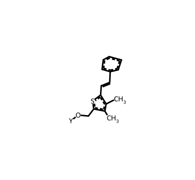 Cc1c(/C=C/c2ccccc2)sc(C[O][Y])c1C